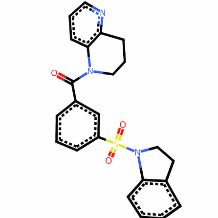 O=C(c1cccc(S(=O)(=O)N2CCc3ccccc32)c1)N1CCCc2ncccc21